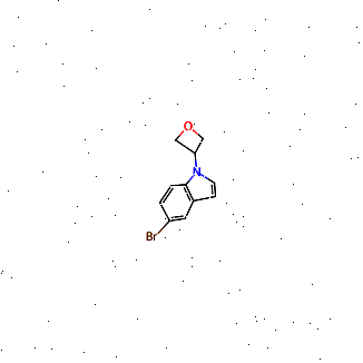 Brc1ccc2c(ccn2C2COC2)c1